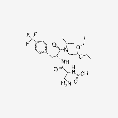 CCOC(CN(C(=O)C(Cc1ccc(C(F)(F)F)cc1)NC(=O)C(CN)NC(=O)O)C(C)C)OCC